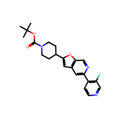 CC(C)(C)OC(=O)N1CCC(c2cc3cc(-c4ccncc4F)ncc3o2)CC1